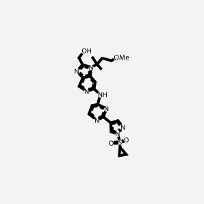 COCCC(C)(C)n1c(CO)nc2cnc(Nc3ccnc(-c4cnn(S(=O)(=O)C5CC5)c4)n3)cc21